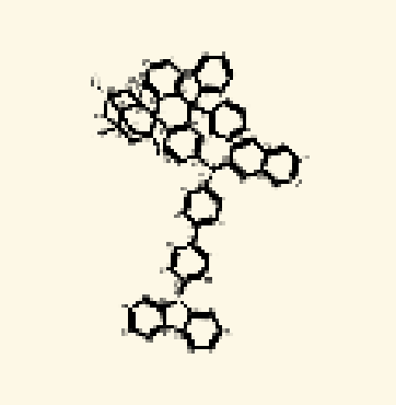 c1ccc(C2(c3ccccc3)c3ccccc3C3(c4ccc(N(c5ccc(-c6ccc(-n7c8ccccc8c8ccccc87)cc6)cc5)c5ccc6ccccc6c5)cc42)[C@H]2C[C@H]4C[C@H](C[C@H]3C4)C2)cc1